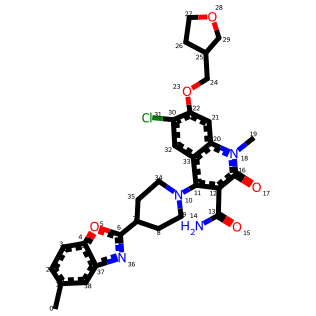 Cc1ccc2oc(C3CCN(c4c(C(N)=O)c(=O)n(C)c5cc(OCC6CCOC6)c(Cl)cc45)CC3)nc2c1